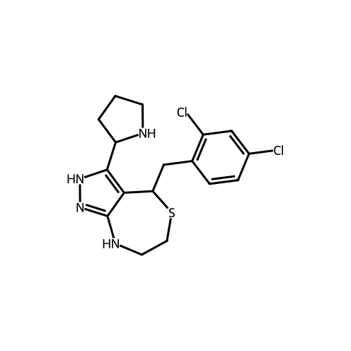 Clc1ccc(CC2SCCNc3n[nH]c(C4CCCN4)c32)c(Cl)c1